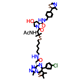 CC(=O)N[C@H](C(=O)N1C[C@H](O)C[C@H]1C(=O)NCc1ccc(-c2scnc2C)cc1)C(C)(C)SCCCCCCNC(=O)C[C@@H]1N=C(c2ccc(Cl)cc2)c2c(sc(C)c2C)-n2c(C)nnc21